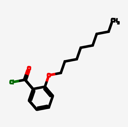 CCCCCCCCOc1ccccc1C(=O)Cl